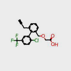 C#CCc1cccc(COCC(=O)O)c1-c1cc(C(F)(F)F)ccc1Cl